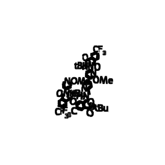 CC(C)(C)OC(=O)c1cc(C(F)(F)F)ccc1C(=O)NCc1ccccn1.COc1cc(NC(=O)c2ccc(C(F)(F)F)cc2C(=O)OC(C)(C)C)ccn1.COc1cccc(NC(=O)c2ccc(C(F)(F)F)cc2C(=O)OC(C)(C)C)n1